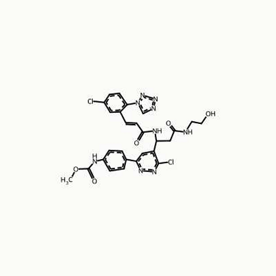 COC(=O)Nc1ccc(-c2cc(C(CC(=O)NCCO)NC(=O)C=Cc3cc(Cl)ccc3-n3cnnn3)c(Cl)nn2)cc1